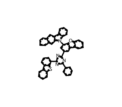 c1ccc(-c2nc(-c3cc(-n4c5ccccc5c5cc6ccccc6cc54)c4oc5ccccc5c4c3)nc(-c3cccc4c3sc3ccccc34)n2)cc1